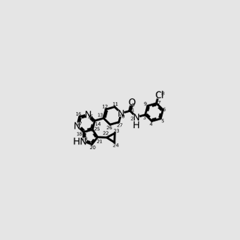 O=C(Nc1cccc(Cl)c1)N1CC=C(c2ncnc3[nH]cc(C4CC4)c23)CC1